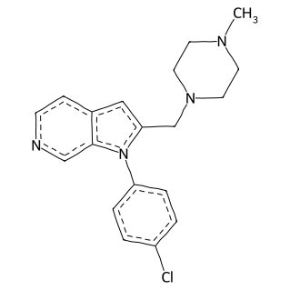 CN1CCN(Cc2cc3ccncc3n2-c2ccc(Cl)cc2)CC1